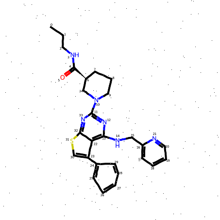 CCCNC(=O)[C@H]1CCCN(c2nc(NCc3ccccn3)c3c(-c4ccccc4)csc3n2)C1